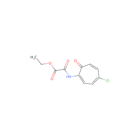 CCOC(=O)C(=O)Nc1ccc(Cl)ccc1=O